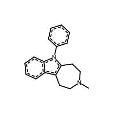 CN1CCc2c(n(-c3ccccc3)c3ccccc23)CC1